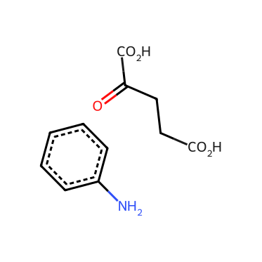 Nc1ccccc1.O=C(O)CCC(=O)C(=O)O